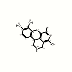 Cc1nc(O)c2c3c1Oc1c(ccc(O)c1O)C3CNC2